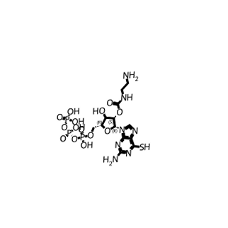 NCCNC(=O)O[C@H]1C(O)[C@@H](COP(=O)(O)OP(=O)(O)OP(=O)(O)O)O[C@H]1n1cnc2c(S)nc(N)nc21